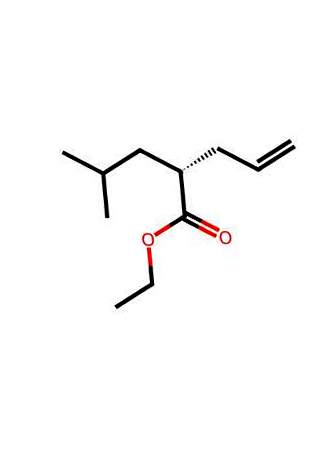 C=CC[C@@H](CC(C)C)C(=O)OCC